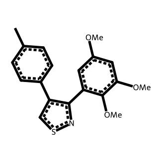 COc1cc(OC)c(OC)c(-c2nscc2-c2ccc(C)cc2)c1